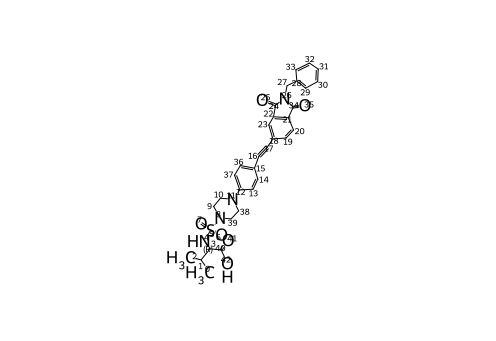 CC(C)[C@@H](NS(=O)(=O)N1CCN(c2ccc(C#Cc3ccc4c(c3)C(=O)N(Cc3ccccc3)C4=O)cc2)CC1)C(=O)O